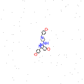 COc1ccc(CN2CCC(Nc3nnc(-c4ccc(OC)cc4)c4ccc(OC)cc34)CC2)cc1